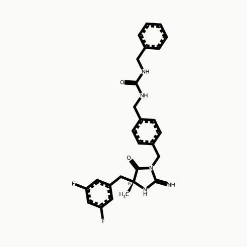 C[C@]1(Cc2cc(F)cc(F)c2)NC(=N)N(Cc2ccc(CNC(=O)NCc3ccccc3)cc2)C1=O